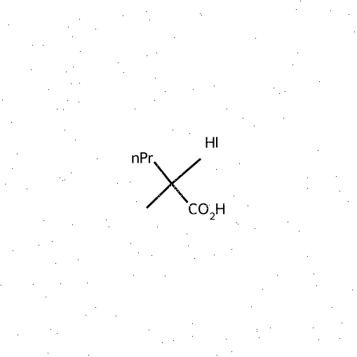 CCCC(C)(C)C(=O)O.I